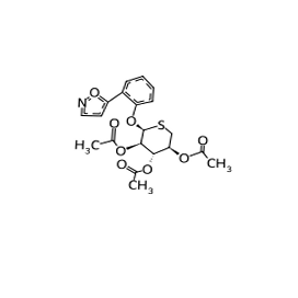 CC(=O)O[C@@H]1[C@@H](OC(C)=O)[C@@H](Oc2ccccc2-c2ccno2)SC[C@H]1OC(C)=O